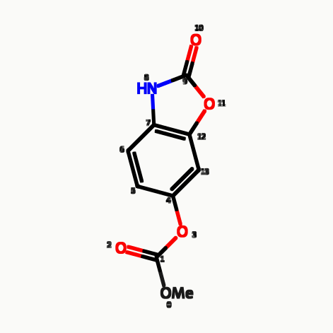 COC(=O)Oc1ccc2[nH]c(=O)oc2c1